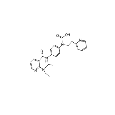 CCN(CC)c1ncccc1C(=O)Nc1ccc(N(CCc2ccccn2)C(=O)O)cc1